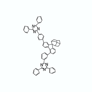 c1ccc(-c2nc(-c3ccccc3)nc(-c3ccc(-c4ccc5c(c4)C4(c6cccc(-c7cccc(-c8nc(-c9ccccc9)nc(-c9ccccc9)n8)c7)c6-5)C5CC6CC(C5)CC4C6)cc3)n2)cc1